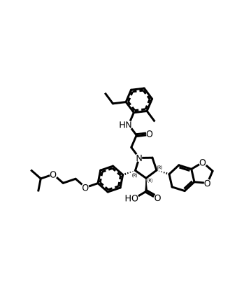 CCc1cccc(C)c1NC(=O)CN1C[C@H](C2C=C3OCOC3=CC2)[C@@H](C(=O)O)[C@@H]1c1ccc(OCCOC(C)C)cc1